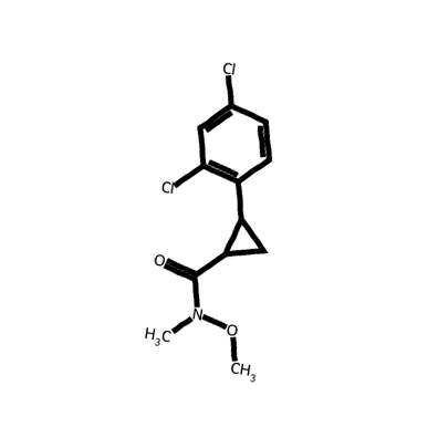 CON(C)C(=O)C1CC1c1ccc(Cl)cc1Cl